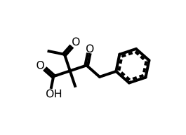 CC(=O)C(C)(C(=O)O)C(=O)Cc1ccccc1